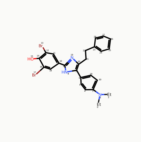 CCN(CC)c1ccc(-c2[nH]c(-c3cc(Br)c(O)c(Br)c3)nc2CCc2ccccc2)cc1